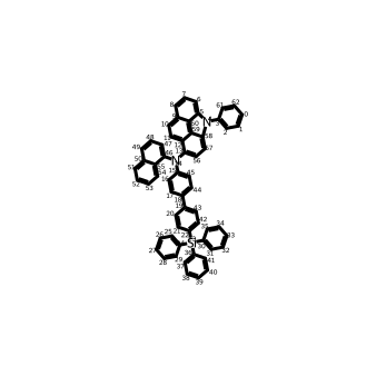 c1ccc(-n2c3cccc4ccc5c(N(c6ccc(-c7ccc([Si](c8ccccc8)(c8ccccc8)c8ccccc8)cc7)cc6)c6cccc7ccccc67)ccc2c5c43)cc1